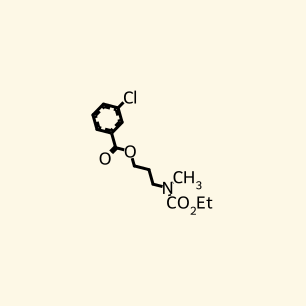 CCOC(=O)N(C)CCCOC(=O)c1cccc(Cl)c1